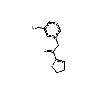 Cc1ccc[n+](CC(=O)C2=CCCS2)c1